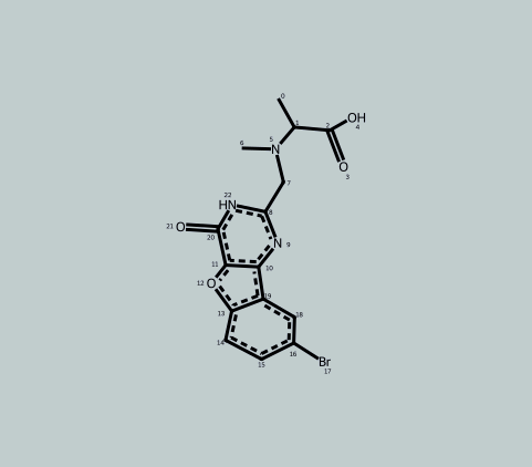 CC(C(=O)O)N(C)Cc1nc2c(oc3ccc(Br)cc32)c(=O)[nH]1